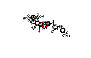 Nc1c(/N=N\c2cc(S(=O)(=O)O)ccc2S(=O)(=O)O)c(S(=O)(=O)O)cc2cc(S(=O)(=O)O)c(/N=N\c3cc(Nc4nc(Cl)nc(Nc5ccc(S(=O)(=O)O)cc5)n4)ccc3S(=O)(=O)O)c(O)c12